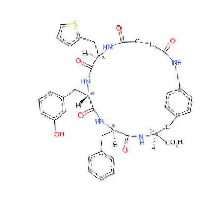 O=C1CCC(=O)N[C@H](Cc2cccs2)C(=O)N[C@@H](Cc2cccc(O)c2)C(=O)N[C@H](Cc2ccccc2)C(=O)N[C@H](C(=O)O)Cc2ccc(cc2)N1